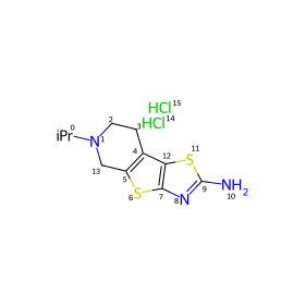 CC(C)N1CCc2c(sc3nc(N)sc23)C1.Cl.Cl